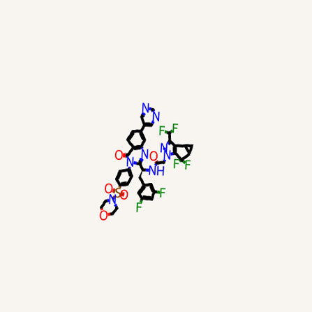 O=C(Cn1nc(C(F)F)c2c1C(F)(F)C1CC21)N[C@@H](Cc1cc(F)cc(F)c1)c1nc2cc(-c3cncnc3)ccc2c(=O)n1-c1ccc(S(=O)(=O)N2CCOCC2)cc1